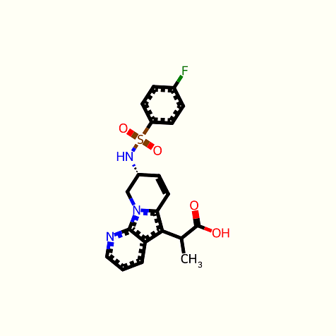 CC(C(=O)O)c1c2n(c3ncccc13)C[C@H](NS(=O)(=O)c1ccc(F)cc1)C=C2